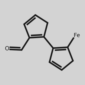 O=CC1=C(C2=[C]([Fe])CC=C2)CC=C1